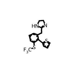 FC(F)(F)Sc1cccc(CC2=NCCN2)c1-c1cccs1